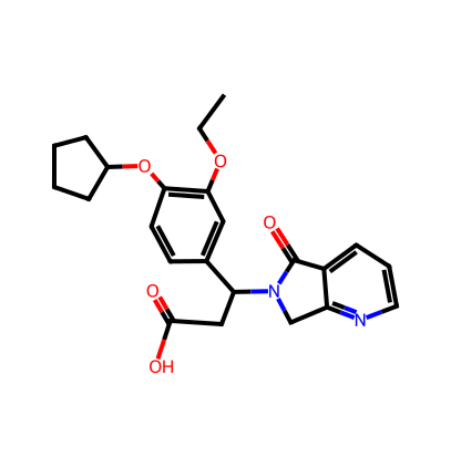 CCOc1cc(C(CC(=O)O)N2Cc3ncccc3C2=O)ccc1OC1CCCC1